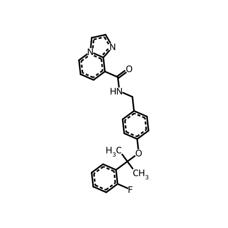 CC(C)(Oc1ccc(CNC(=O)c2cccn3ccnc23)cc1)c1ccccc1F